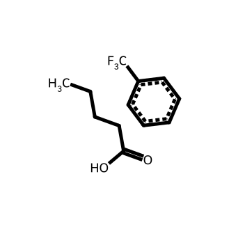 CCCCC(=O)O.FC(F)(F)c1ccccc1